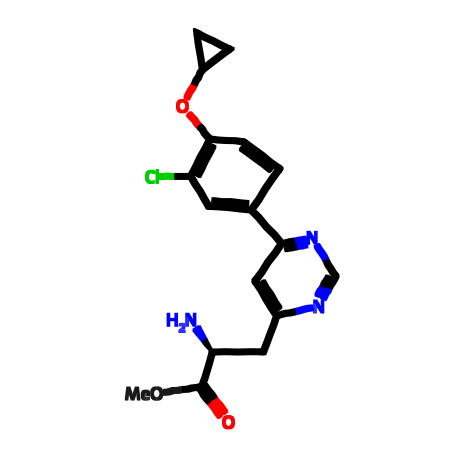 COC(=O)[C@@H](N)Cc1cc(-c2ccc(OC3CC3)c(Cl)c2)ncn1